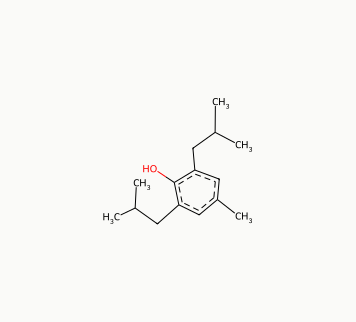 Cc1cc(CC(C)C)c(O)c(CC(C)C)c1